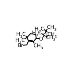 CC1=C(CBr)C(C)(C)CCC1O[Si](C)(C)C(C)(C)C